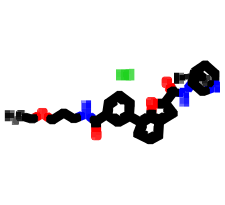 CCOCCCNC(=O)c1cccc(-c2cccc3cc(C(=O)N[C@@H]4CN5CCC4CC5)oc23)c1.Cl